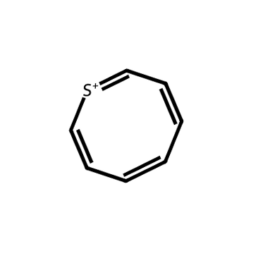 C1=CC=C[S+]=CC=C1